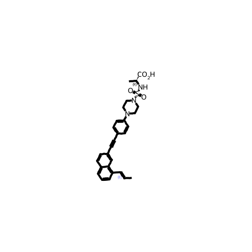 C/C=C/c1cccc2ccc(C#Cc3ccc(N4CCN(S(=O)(=O)N[C@H](C)C(=O)O)CC4)cc3)cc12